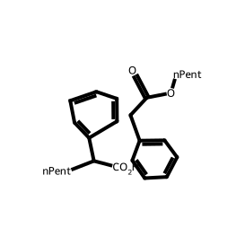 CCCCCC(C(=O)O)c1ccccc1.CCCCCOC(=O)Cc1ccccc1